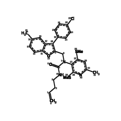 C=CCCNC(=O)N(Cc1oc2ccc(C)cc2c1-c1ccc(Cl)cc1)c1c(SC)cc(C)nc1SC